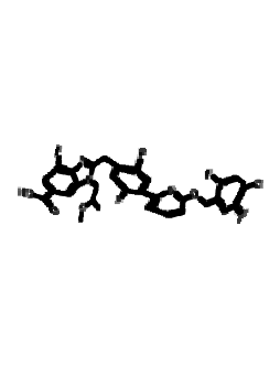 COC(C)Cn1c(Cc2cc(F)c(-c3cccc(OCc4cc(F)c(Cl)cc4F)n3)cc2F)nc2c(F)cc(C(=O)O)cc21